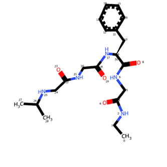 CCNC(=O)CNC(=O)[C@H](Cc1ccccc1)NC(=O)CNC(=O)CNC(C)C